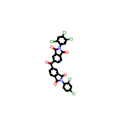 O=C(c1ccc2c(c1)C(=O)N(c1ccc(Cl)cc1Cl)C2=O)c1ccc2c(c1)C(=O)N(c1cc(Cl)c(Cl)cc1Cl)C2=O